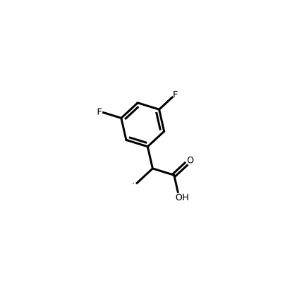 [CH2]C(C(=O)O)c1cc(F)cc(F)c1